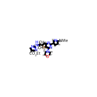 CCOC(=O)c1cnc(NC(C)(C)c2cc3nc(-c4ccc(NC)nc4)nc(N4CCOCC4)c3s2)nc1